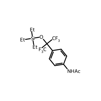 CC[Si](CC)(CC)OC(c1ccc(NC(C)=O)cc1)(C(F)(F)F)C(F)(F)F